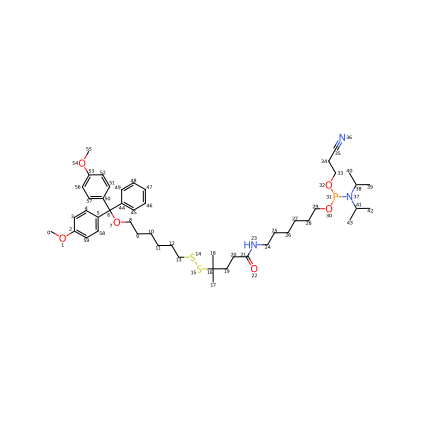 COc1ccc(C(OCCCCCCSSC(C)(C)CCC(=O)NCCCCCCOP(OCCC#N)N(C(C)C)C(C)C)(c2ccccc2)c2ccc(OC)cc2)cc1